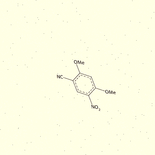 COc1cc(OC)c([N+](=O)[O-])cc1C#N